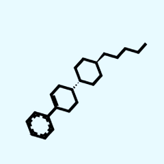 CCCCC[C@H]1CC[C@H](C2CC=C(c3cc[c]cc3)CC2)CC1